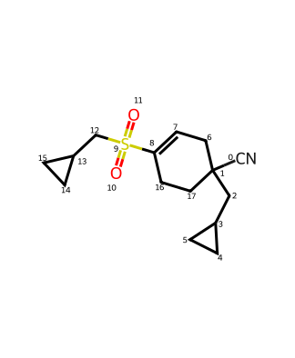 N#CC1(CC2CC2)CC=C(S(=O)(=O)CC2CC2)CC1